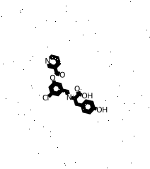 O=C(Oc1cc(Cl)cc(C=NC(Cc2ccc(O)cc2)C(=O)O)c1)c1cccnc1